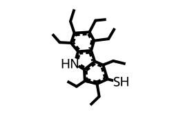 CCc1c(S)c(CC)c2c([nH]c3c(CC)c(CC)c(CC)c(CC)c32)c1CC